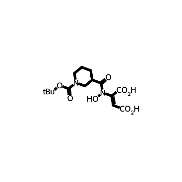 CC(C)(C)OC(=O)N1CCCC(C(=O)N(O)/C(=C/C(=O)O)C(=O)O)C1